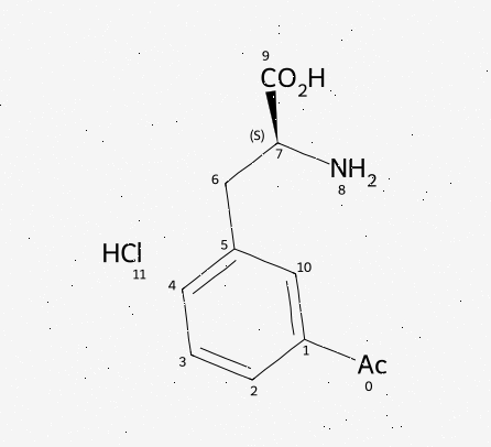 CC(=O)c1cccc(C[C@H](N)C(=O)O)c1.Cl